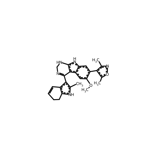 COc1cc2c3c([nH]c2cc1-c1c(C)noc1C)NCN=C3c1c(C)[nH]c2c1C=CCC2